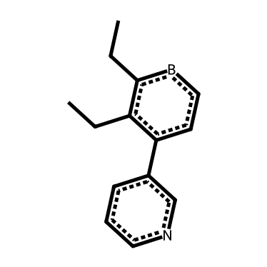 CCc1bccc(-c2cccnc2)c1CC